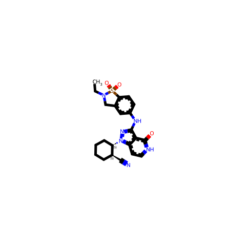 CCN1Cc2cc(Nc3nn([C@H]4CCCC[C@@H]4C#N)c4cc[nH]c(=O)c34)ccc2S1(=O)=O